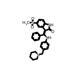 CS(=O)(=O)c1ccc2c(c1)/C(=C(/Nc1ccc(CN3CCCCC3)cc1)c1ccccc1)C(=O)N2